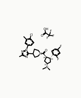 Cc1nc(C2CCN(C(=O)[C@@H]3C[C@@H](N(C)C)C[C@H]3c3ccc(F)cc3F)CC2)n(-c2ccc(Cl)c(C)c2)n1.O=C(O)C(F)(F)F